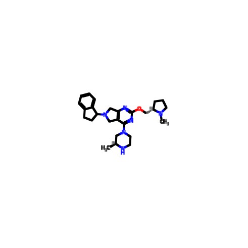 C[C@H]1CN(c2nc(OC[C@@H]3CCCN3C)nc3c2CN(C2CCc4ccccc42)C3)CCN1